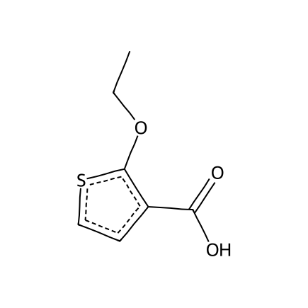 CCOc1sccc1C(=O)O